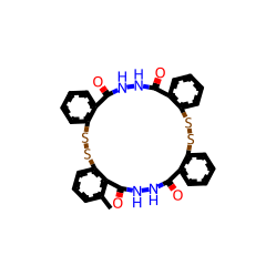 Cc1cccc2c1C(=O)NNC(=O)c1ccccc1SSc1ccccc1C(=O)NNC(=O)c1ccccc1SS2